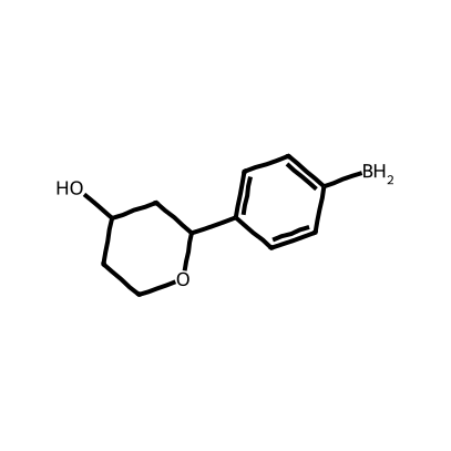 Bc1ccc(C2CC(O)CCO2)cc1